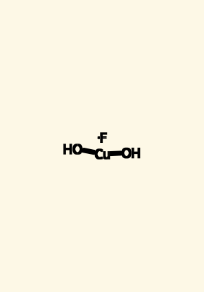 [F].[OH][Cu][OH]